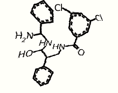 NC(NC(O)C(CNC(=O)c1cc(Cl)cc(Cl)c1)c1ccccc1)c1ccccc1